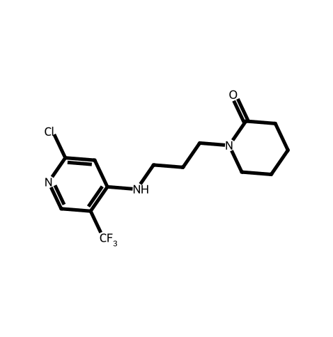 O=C1CCCCN1CCCNc1cc(Cl)ncc1C(F)(F)F